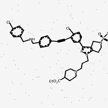 CCOC(=O)C1CCN(CCCn2nc(-c3ccc(Cl)c(C#Cc4ccc(CNCc5ccc(Cl)cc5)cc4)c3)c3c2CCN(S(C)(=O)=O)C3)CC1